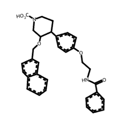 O=C(NCCOc1ccc(C2CCN(C(=O)O)CC2OCc2ccc3ccccc3c2)cc1)c1ccccc1